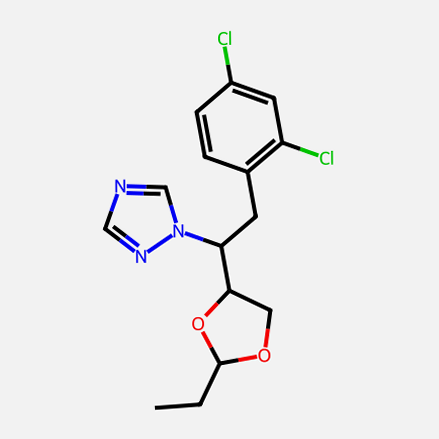 CCC1OCC(C(Cc2ccc(Cl)cc2Cl)n2cncn2)O1